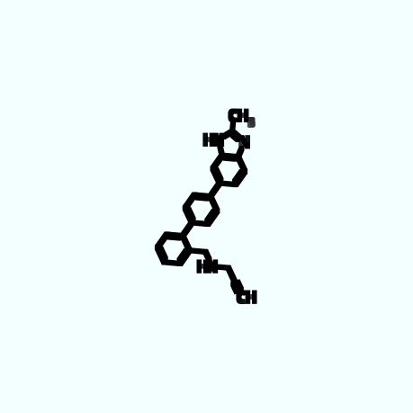 C#CCNCc1ccccc1-c1ccc(-c2ccc3nc(C)[nH]c3c2)cc1